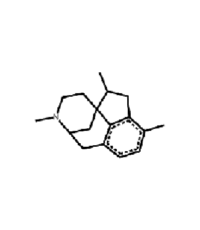 Cc1ccc2c3c1CC(C)C31CCN(C)C(C2)C1